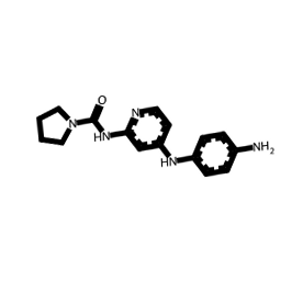 Nc1ccc(Nc2ccnc(NC(=O)N3CCCC3)c2)cc1